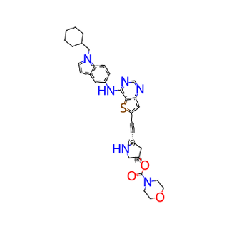 O=C(O[C@H]1CN[C@H](C#Cc2cc3ncnc(Nc4ccc5c(ccn5CC5CCCCC5)c4)c3s2)C1)N1CCOCC1